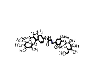 CCCCCCCCOc1c(O[C@@H]2O[C@H](CO)[C@@H](O)[C@H](O)[C@@H]2O)c2ccc(NC(=O)/C=C/c3cc(OC)c(O[C@@H]4O[C@H](CO)[C@@H](O)[C@H](O)[C@@H]4O)c(OC)c3)cc2n(C)c1=O